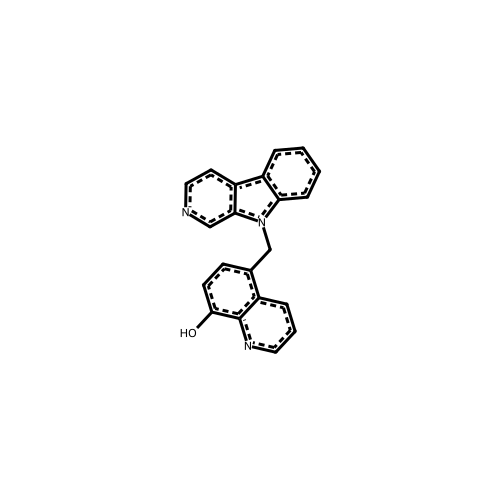 Oc1ccc(Cn2c3ccccc3c3ccncc32)c2cccnc12